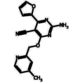 Cc1ccnc(COc2nc(N)nc(-c3ccco3)c2C#N)c1